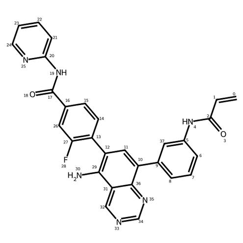 C=CC(=O)Nc1cccc(-c2cc(-c3ccc(C(=O)Nc4ccccn4)cc3F)c(N)c3cncnc23)c1